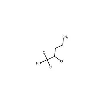 CCCC(Cl)C(O)(Cl)Cl